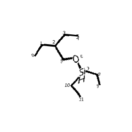 CCC(CC)CO[SiH](CC)CC